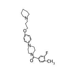 Cc1ccc(C(=O)N2CCN(c3ccc(OCCCN4CCCCC4)cc3)CC2)cc1F